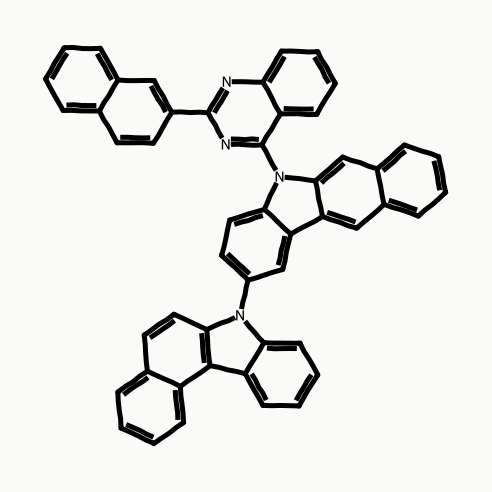 c1ccc2cc(-c3nc(-n4c5ccc(-n6c7ccccc7c7c8ccccc8ccc76)cc5c5cc6ccccc6cc54)c4ccccc4n3)ccc2c1